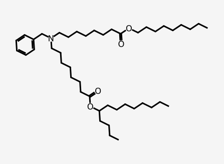 CCCCCCCCCOC(=O)CCCCCCCN(CCCCCCCC(=O)OC(CCCC)CCCCCCCC)Cc1ccccc1